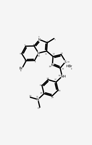 Br.Cc1nc2ccc(Br)cn2c1-c1csc(Nc2ccc(N(C)C)cc2)n1